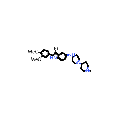 CCc1c(-c2ccc(OC)c(OC)c2)[nH]c2ccc(NC3CCN(C4CCN(C)CC4)CC3)cc12